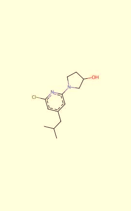 CC(C)Cc1cc(Cl)nc(N2CCC(O)C2)c1